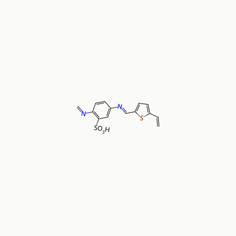 C=Cc1ccc(C=Nc2ccc(N=C)c(S(=O)(=O)O)c2)s1